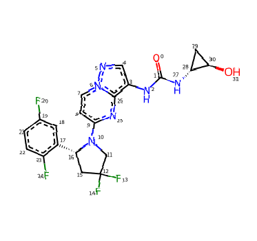 O=C(Nc1cnn2ccc(N3CC(F)(F)C[C@@H]3c3cc(F)ccc3F)nc12)N[C@@H]1C[C@H]1O